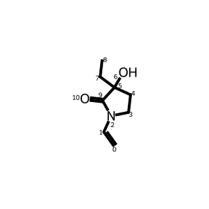 C=CN1CCC(O)(CC)C1=O